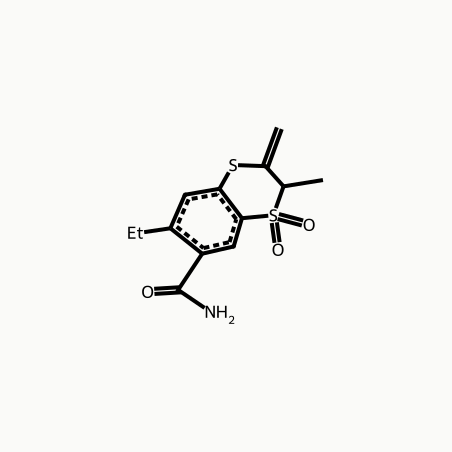 C=C1Sc2cc(CC)c(C(N)=O)cc2S(=O)(=O)C1C